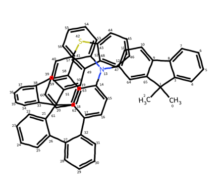 CC1(C)c2ccccc2-c2ccc(N(c3ccc4c(c3)C3(c5ccccc5-c5ccccc5-4)c4ccccc4-c4cc5sc6ccccc6c5cc43)c3ccccc3-c3ccccc3)cc21